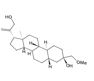 C=C(CO)[C@H]1CC[C@H]2[C@@H]3CC[C@H]4C[C@@](O)(COC)CC[C@@H]4[C@H]3CC[C@]12C